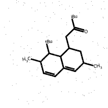 CCC(C)C(=O)CC1CC(C)C=C2C=CC(C)C(C(C)(C)C)C21